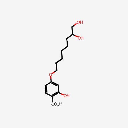 O=C(O)c1ccc(OCCCCCCC(O)CO)cc1O